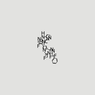 Cn1nccc1Nc1ncc(F)c(-c2cc3n(c2)C[C@H](CF)n2c-3nnc2C(F)(F)c2ccccc2)n1